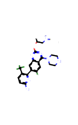 CC(CN(C)C)Oc1nc(N2CCNCC2)c2cc(Cl)c(-c3nc(N)ccc3C(F)(F)F)cc2n1